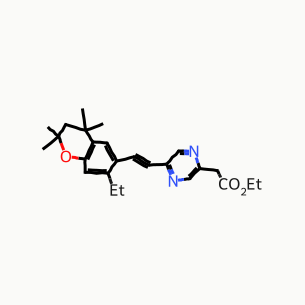 CCOC(=O)Cc1cnc(C#Cc2cc3c(cc2CC)OC(C)(C)CC3(C)C)cn1